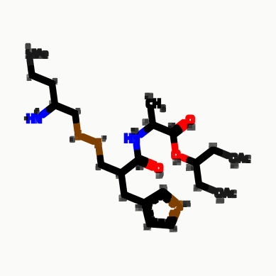 CSCCC([NH])CSSCC(Cc1ccsc1)C(=O)NC(C)C(=O)OC(COC(C)=O)COC(C)=O